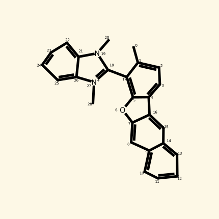 Cc1ccc2c(oc3cc4ccccc4cc32)c1-c1n(C)c2ccccc2[n+]1C